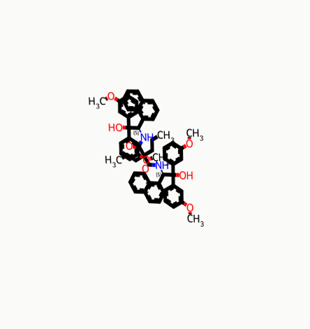 CCCC(CCC)(C(=O)N[C@@H](c1cccc2ccccc12)C(O)(c1cccc(OC)c1)c1cccc(OC)c1)C(=O)N[C@@H](c1cccc2ccccc12)C(O)(c1cccc(OC)c1)c1cccc(OC)c1